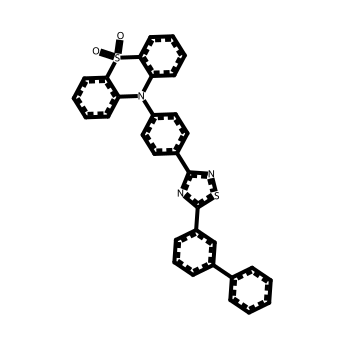 O=S1(=O)c2ccccc2N(c2ccc(-c3nsc(-c4cccc(-c5ccccc5)c4)n3)cc2)c2ccccc21